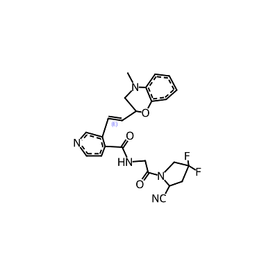 CN1CC(/C=C/c2cnccc2C(=O)NCC(=O)N2CC(F)(F)CC2C#N)Oc2ccccc21